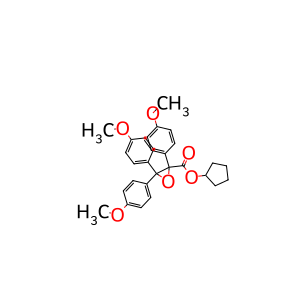 COc1ccc(C2(C(=O)OC3CCCC3)OC2(c2ccc(OC)cc2)c2ccc(OC)cc2)cc1